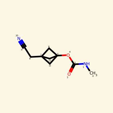 CNC(=O)OC12CC(CC#N)(C1)C2